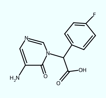 Nc1cncn(C(C(=O)O)c2ccc(F)cc2)c1=O